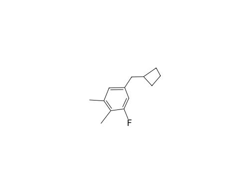 Cc1cc(CC2CCC2)cc(F)c1C